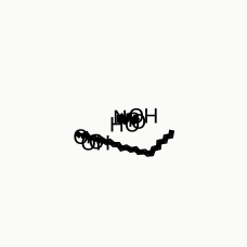 CC(C[N+](C)(C)C)P(=O)(O)O.CCCCCCC/C=C\CCCCCCCCCCCOC[C@@H](O)COC